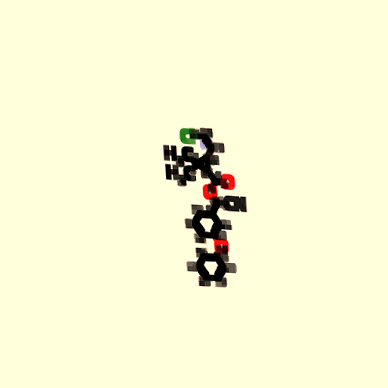 CC1(C)[C@H](C(=O)O[C@H](C#N)c2cccc(Oc3ccccc3)c2)[C@@H]1/C=C\Cl